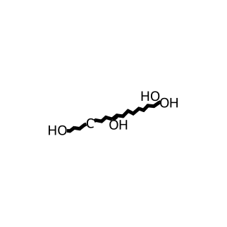 OCCCCCCCCC(O)=CCCCCCCCC(O)O